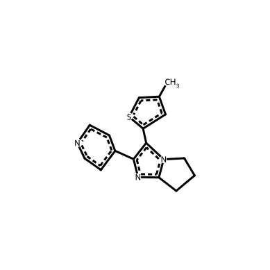 Cc1csc(-c2c(-c3ccncc3)nc3n2CCC3)c1